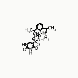 CC(C)c1cccc(C(C)C)c1NC(=O)NS(=O)(=O)c1c[nH]c(=O)[nH]c1=O